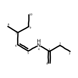 C=C(CC)N/C=C\C(C)CC